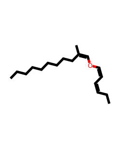 CC/C=C\C=C/OC=C(C)CCCCCCCCC